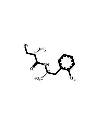 CC(C)C[C@H](N)C(=O)N[C@H](Cc1ccccc1C(F)(F)F)C(=O)O